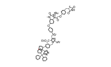 CCCc1nc(C[S+]([O-])c2ccc(Oc3ccc(NC(=O)COc4ccc(CC5SC(=O)NC5=O)cc4)c(N(C)C(=O)OC(C)(C)C)c3)cc2)c(C(=O)OCC)n1Cc1ccc(-c2ccccc2-c2nnnn2C(c2ccccc2)(c2ccccc2)c2ccccc2)cc1